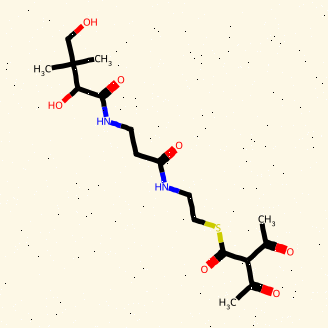 CC(=O)C(C(C)=O)C(=O)SCCNC(=O)CCNC(=O)C(O)C(C)(C)CO